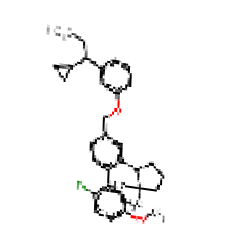 CC1(C)CCC[C@@H]1c1cc(COc2cccc([C@H](CC(=O)O)C3CC3)c2)ccc1-c1cc(OC(F)(F)F)ccc1F